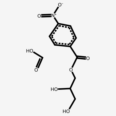 O=C(OCC(O)CO)c1ccc([N+](=O)[O-])cc1.O=CO